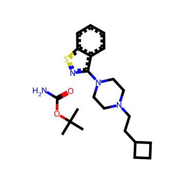 CC(C)(C)OC(N)=O.c1ccc2c(N3CCN(CCC4CCC4)CC3)nsc2c1